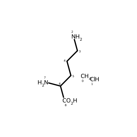 C.Cl.NCCCC(N)C(=O)O